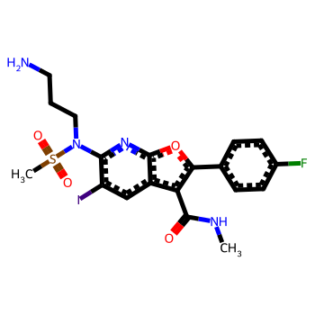 CNC(=O)c1c(-c2ccc(F)cc2)oc2nc(N(CCCN)S(C)(=O)=O)c(I)cc12